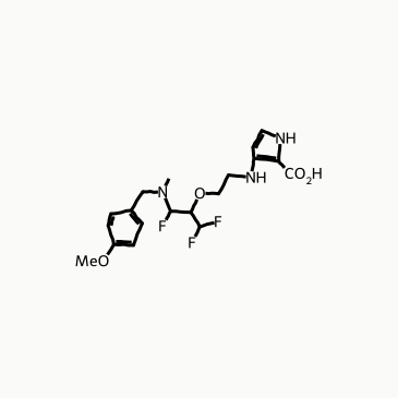 COc1ccc(CN(C)C(F)C(OCCNc2cc[nH]c2C(=O)O)C(F)F)cc1